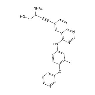 CC(=O)NC(C#Cc1ccc2ncnc(Nc3ccc(Oc4cccnc4)c(C)c3)c2c1)CO